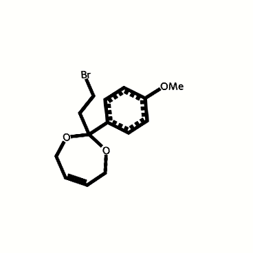 COc1ccc(C2(CCBr)OCC=CCO2)cc1